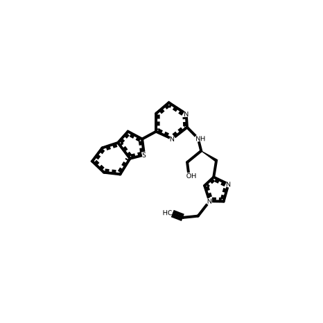 C#CCn1cnc(C[C@@H](CO)Nc2nccc(-c3cc4ccccc4s3)n2)c1